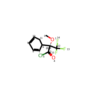 CO[C@](C(=O)Cl)(C1C=CC=CC1)C(F)(F)F